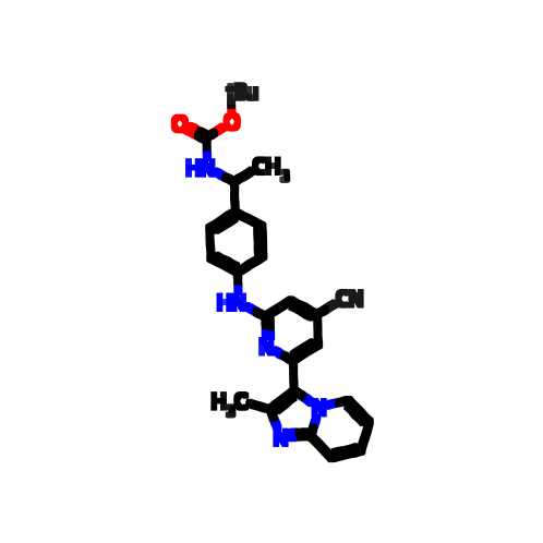 Cc1nc2ccccn2c1-c1cc(C#N)cc(Nc2ccc(C(C)NC(=O)OC(C)(C)C)cc2)n1